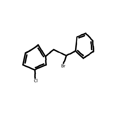 Clc1cccc(CC(Br)c2ccccc2)c1